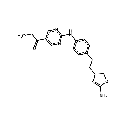 CCC(=O)c1cnc(Nc2ccc(CCC3COC(N)=N3)cc2)nc1